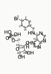 Brc1ccc(CNc2ncnc3nc[nH]c23)cc1.O=P(O)(O)OC[C@H]1OC(O)[C@H](O)[C@@H]1O